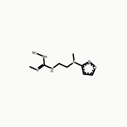 C/N=C(\NC#N)NCCN(C)c1ccsn1